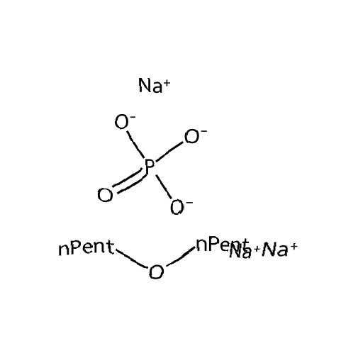 CCCCCOCCCCC.O=P([O-])([O-])[O-].[Na+].[Na+].[Na+]